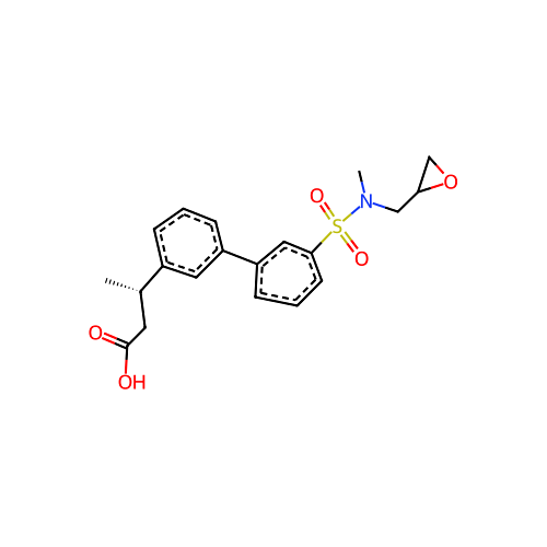 C[C@@H](CC(=O)O)c1cccc(-c2cccc(S(=O)(=O)N(C)CC3CO3)c2)c1